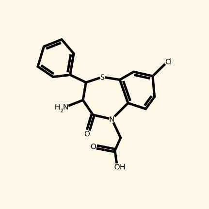 NC1C(=O)N(CC(=O)O)c2ccc(Cl)cc2SC1c1ccccc1